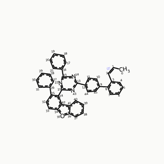 C/C=C\c1ccccc1-c1ccc(-c2nc(-c3ccccc3)nc(-c3c(-c4ccccc4)ccc4oc5ccccc5c34)n2)cc1